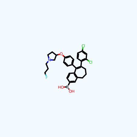 OB(O)c1ccc2c(c1)CCCC(c1ccc(Cl)cc1Cl)=C2c1ccc(OC2CCN(CCCF)C2)cc1